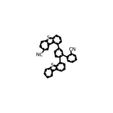 N#Cc1ccc2sc3cccc(-c4ccc(-c5cccc6c5sc5ccccc56)c(-c5ccccc5C#N)c4)c3c2c1